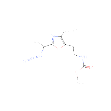 CCOC(=O)c1nc(C(CC)N=[N+]=[N-])oc1CCNC(=O)OC(C)(C)C